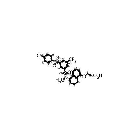 CN([C@@H]1CCCc2c(OCC(=O)O)cccc21)S(=O)(=O)c1cc(C(F)(F)F)cc(S(=O)(=O)c2ccc(Cl)cc2)c1